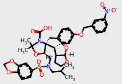 CC(C)CN(C[C@H]1OC(C)(C)N(C(=O)O)[C@@]1(Cc1ccc(OCc2cccc([N+](=O)[O-])c2)cc1)[C@@H]1CO[C@H]2OCC[C@H]21)S(=O)(=O)c1ccc2c(c1)OCO2